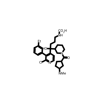 CCc1cccc(-c2c(C(O)(CCCNC(=O)O)C3CCCN(C(=O)C4CCC(NC)C4)C3)ccnc2Cl)c1